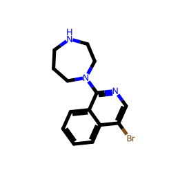 Brc1cnc(N2CCCNCC2)c2ccccc12